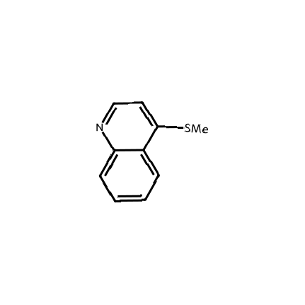 CSc1ccnc2ccccc12